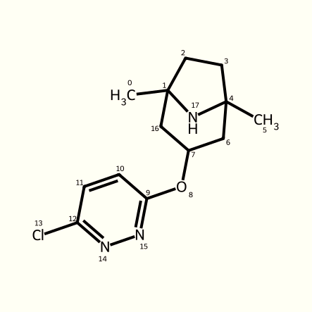 CC12CCC(C)(CC(Oc3ccc(Cl)nn3)C1)N2